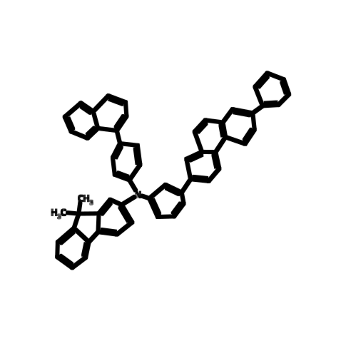 CC1(C)c2ccccc2-c2ccc(N(c3ccc(-c4cccc5ccccc45)cc3)c3cccc(-c4ccc5c(ccc6cc(-c7ccccc7)ccc65)c4)c3)cc21